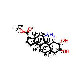 COC(=O)[C@H]1CC[C@H]2[C@@H]3CC[C@H]4C[C@H](O)[C@@H](O)C[C@]4(C)[C@H]3[C@H](N)C[C@]12C